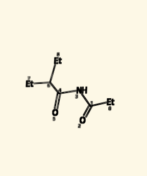 CCC(=O)NC(=O)C(CC)CC